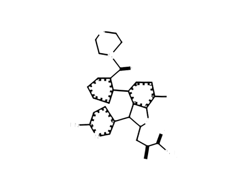 C=C(CC1Oc2c(Cl)ccc(-c3ccccc3C(=O)N3CCOCC3)c2C1c1ccc(N)nc1)C(N)=O